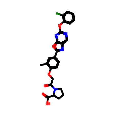 Cc1cc(-c2nc3cnc(Oc4ccccc4F)nc3o2)ccc1OCC(=O)N1CCCC1C(=O)O